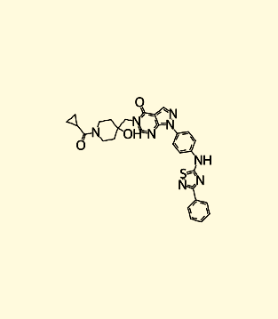 O=C(C1CC1)N1CCC(O)(Cn2cnc3c(cnn3-c3ccc(Nc4nc(-c5ccccc5)ns4)cc3)c2=O)CC1